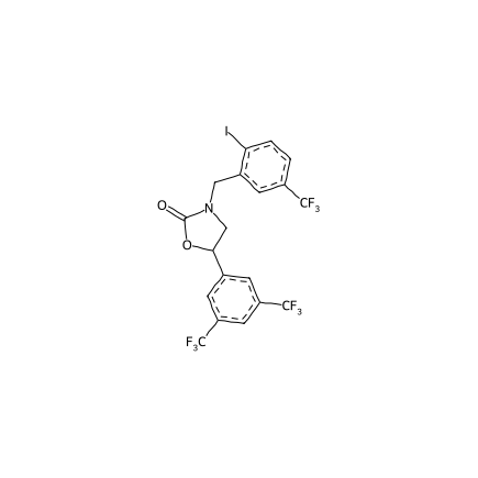 O=C1OC(c2cc(C(F)(F)F)cc(C(F)(F)F)c2)CN1Cc1cc(C(F)(F)F)ccc1I